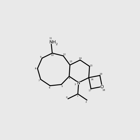 CC(C)N1C2CCCCCC(N)CC2CCC12COC2